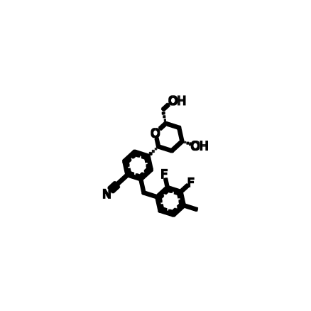 Cc1ccc(Cc2cc([C@H]3C[C@@H](O)C[C@@H](CO)O3)ccc2C#N)c(F)c1F